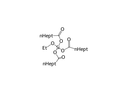 CCCCCCCC(=O)O[Si](OCC)(OC(=O)CCCCCCC)OC(=O)CCCCCCC